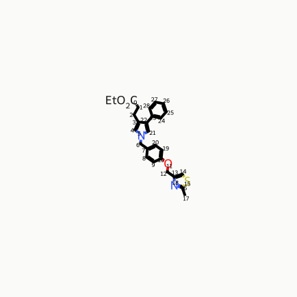 CCOC(=O)CCc1cn(Cc2ccc(OCc3csc(C)n3)cc2)cc1-c1ccccc1